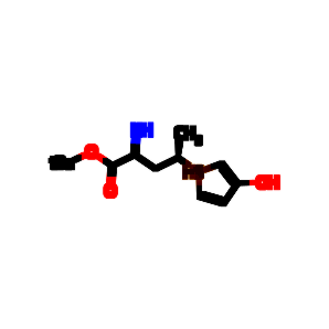 C[C@H](CC(=N)C(=O)OC(C)(C)C)[SH]1C=CC(O)=C1